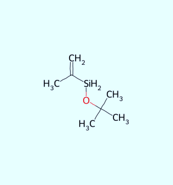 C=C(C)[SiH2]OC(C)(C)C